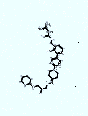 CC(CON=C1CCN(c2ncc(-c3cccc(COC(=O)NC(=N)N)c3F)cn2)CC1)COC1CCCCO1